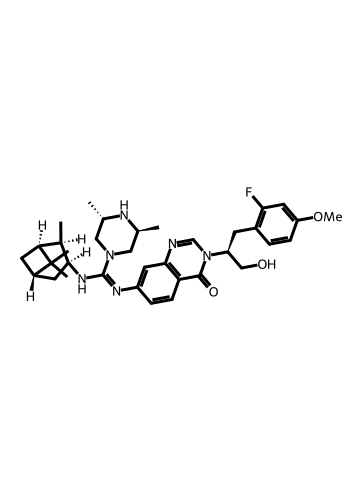 COc1ccc(C[C@@H](CO)n2cnc3cc(N=C(N[C@H]4C[C@@H]5C[C@@H]([C@H]4C)C5(C)C)N4C[C@H](C)N[C@@H](C)C4)ccc3c2=O)c(F)c1